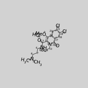 COc1c(C(=O)NCCCN(C)C)n(CC(C)(C)C)c(=O)c2cc(Cl)c(Cl)cc12.Cl